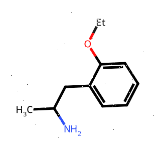 CCOc1ccccc1CC(C)N